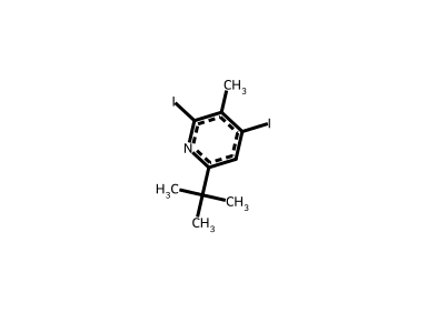 Cc1c(I)cc(C(C)(C)C)nc1I